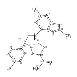 C[C@@](CNc1cc(C(F)(F)F)nc2cc(C(F)(F)F)nn12)(c1ccc(F)cc1)[C@@H]1CCN(C(N)=O)C1